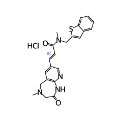 CN1CC(=O)Nc2ncc(/C=C/C(=O)N(C)Cc3cc4ccccc4s3)cc2C1.Cl